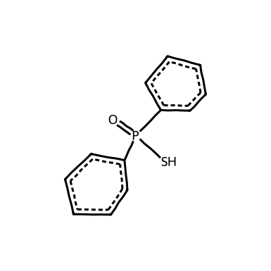 O=P(S)(c1ccccc1)c1ccccc1